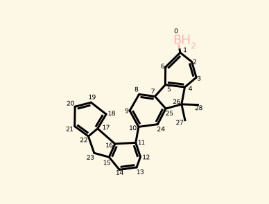 Bc1ccc2c(c1)-c1ccc(-c3cccc4c3-c3ccccc3C4)cc1C2(C)C